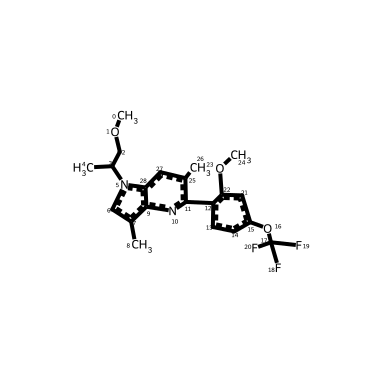 COCC(C)n1cc(C)c2nc(-c3ccc(OC(F)(F)F)cc3OC)c(C)cc21